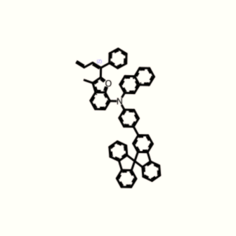 C=C/C=C(/c1ccccc1)c1oc2c(N(c3ccc(-c4ccc5c(c4)C4(c6ccccc6-c6ccccc64)c4ccccc4-5)cc3)c3ccc4ccccc4c3)cccc2c1C